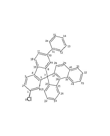 Clc1ccc2c(c1)C1(c3cc(-c4ccccc4)ccc3-2)c2ccccc2-c2c1ccc1ccccc21